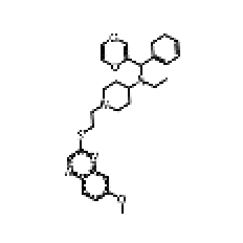 CCN(C1CCN(CCSc2cnc3ccc(OC)cc3n2)CC1)C(C1=CC=CCC1)C1=COC=CO1